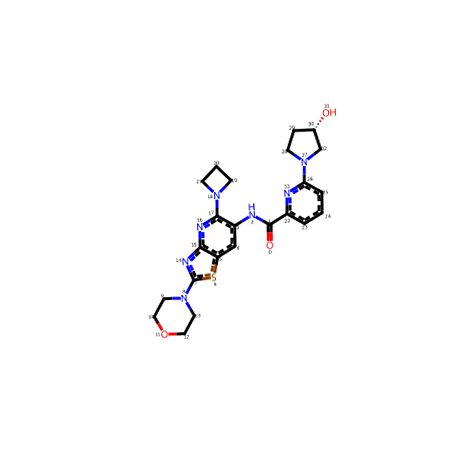 O=C(Nc1cc2sc(N3CCOCC3)nc2nc1N1CCC1)c1cccc(N2CC[C@H](O)C2)n1